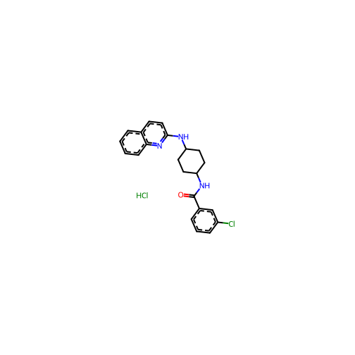 Cl.O=C(NC1CCC(Nc2ccc3ccccc3n2)CC1)c1cccc(Cl)c1